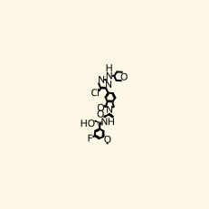 C=C(C(=O)N[C@H](CO)c1cc(F)cc(OC)c1)N1Cc2ccc(-c3nc(NC4CCOCC4)ncc3Cl)cc2C1=O